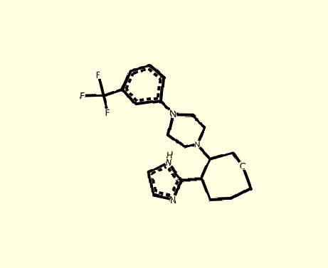 FC(F)(F)c1cccc(N2CCN(C3CCCCCC3c3ncc[nH]3)CC2)c1